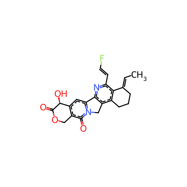 C/C=C1\CCCc2c3c(nc(/C=C/F)c21)-c1cc2c(c(=O)n1C3)COC(=O)[C@H]2O